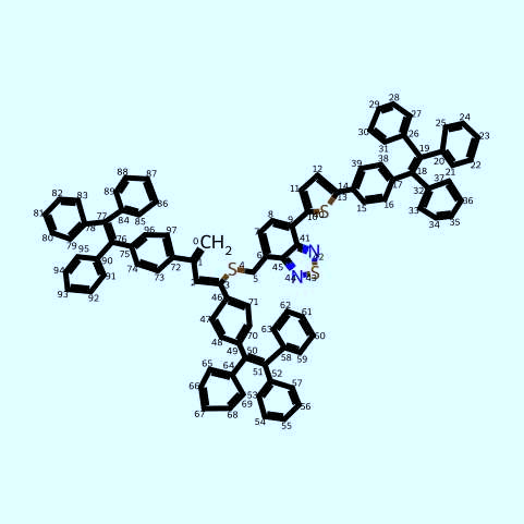 C=C(/C=C(\SCc1ccc(-c2ccc(-c3ccc(C(=C(c4ccccc4)c4ccccc4)c4ccccc4)cc3)s2)c2nsnc12)c1ccc(C(=C(c2ccccc2)c2ccccc2)c2ccccc2)cc1)c1ccc(C(=C(c2ccccc2)c2ccccc2)c2ccccc2)cc1